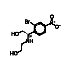 O=[N+]([O-])c1ccc([C@@H](CO)NCCO)c(Br)c1